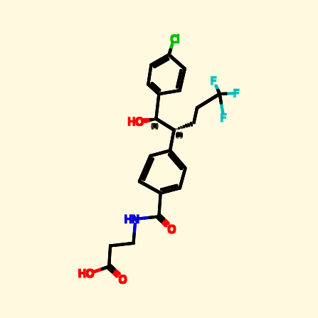 O=C(O)CCNC(=O)c1ccc([C@@H](CCC(F)(F)F)[C@@H](O)c2ccc(Cl)cc2)cc1